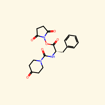 O=C1CCN(C(=O)N[C@@H](Cc2ccccc2)C(=O)ON2C(=O)CCC2=O)CC1